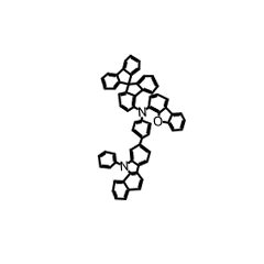 c1ccc(-n2c3cc(-c4ccc(N(c5cccc6c5-c5ccccc5C65c6ccccc6-c6ccccc65)c5cccc6c5oc5ccccc56)cc4)ccc3c3ccc4ccccc4c32)cc1